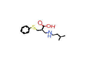 CC(C)CCNCC(CSc1ccccc1)C(=O)O